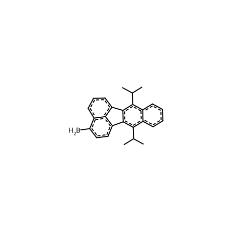 Bc1ccc2c3c(cccc13)-c1c-2c(C(C)C)c2ccccc2c1C(C)C